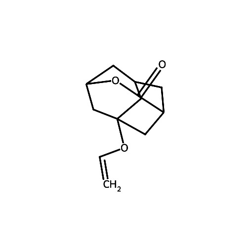 C=COC12CC3CC(C1)OC(=O)C(C3)C2